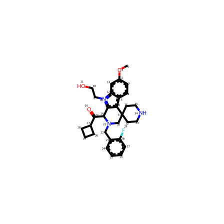 COc1ccc2c3c(n(CCO)c2c1)C(C(=O)C1CCC1)N(Cc1ccccc1F)CC31CCNCC1